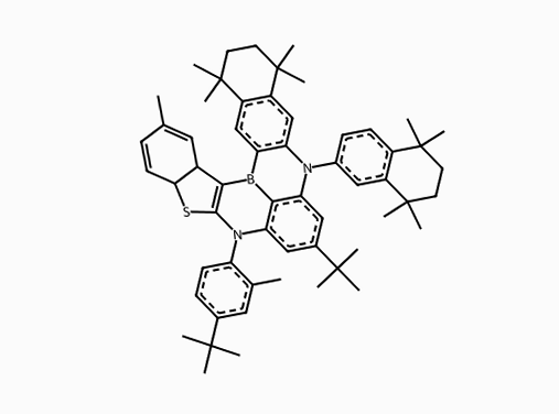 CC1=CC2C3=C(SC2C=C1)N(c1ccc(C(C)(C)C)cc1C)c1cc(C(C)(C)C)cc2c1B3c1cc3c(cc1N2c1ccc2c(c1)C(C)(C)CCC2(C)C)C(C)(C)CCC3(C)C